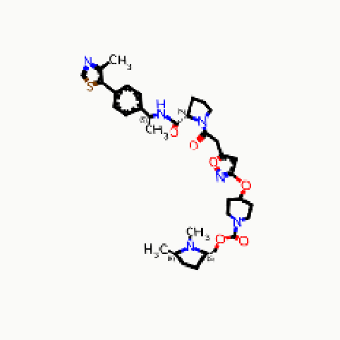 Cc1ncsc1-c1ccc([C@H](C)NC(=O)[C@@H]2CCCN2C(=O)Cc2cc(OC3CCN(C(=O)OC[C@@H]4CC[C@@H](C)N4C)CC3)no2)cc1